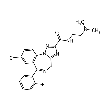 CB(C)CCNC(=O)c1nc2n(n1)-c1ccc(Cl)cc1C(c1ccccc1F)=NC2